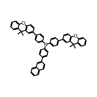 CC1(C)c2ccccc2Oc2ccc(-c3ccc(N(c4ccc(-c5ccc6c(c5)C(C)(C)c5ccccc5O6)cc4)c4ccc(-c5ccc6ccccc6c5)cc4)cc3)cc21